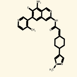 Cc1ccncc1-c1cc2cc(NC(=O)C=C3CCC(c4cnn(C)c4)CC3)ncc2c(N)c1F